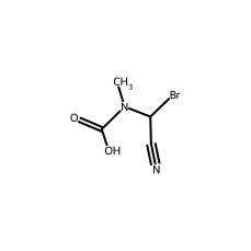 CN(C(=O)O)C(Br)C#N